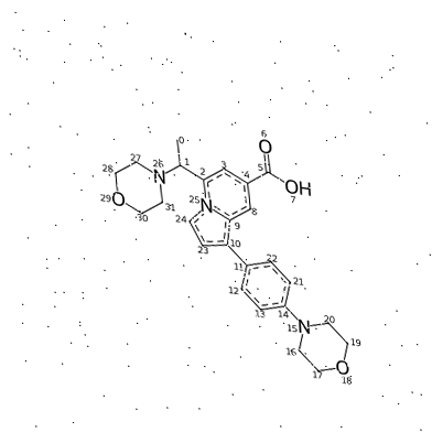 CC(c1cc(C(=O)O)cc2c(-c3ccc(N4CCOCC4)cc3)ccn12)N1CCOCC1